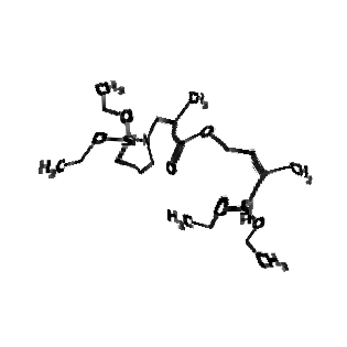 CCO[SiH](OCC)C(C)CCOC(=O)C(C)CN1CCC[Si]1(OCC)OCC